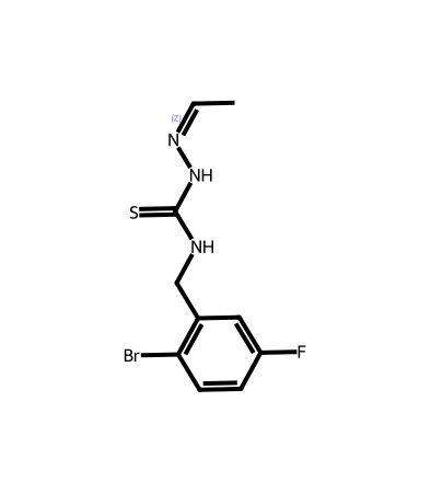 C/C=N\NC(=S)NCc1cc(F)ccc1Br